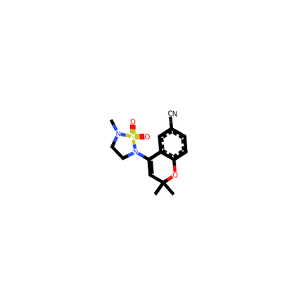 CN1CCN(C2=CC(C)(C)Oc3ccc(C#N)cc32)S1(=O)=O